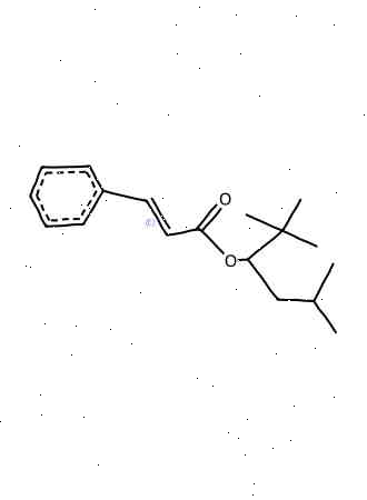 CC(C)CC(OC(=O)/C=C/c1ccccc1)C(C)(C)C